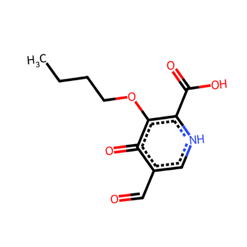 CCCCOc1c(C(=O)O)[nH]cc(C=O)c1=O